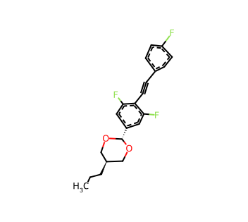 CCC[C@H]1CO[C@H](c2cc(F)c(C#Cc3ccc(F)cc3)c(F)c2)OC1